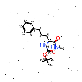 CNC(=O)[C@H](CCCc1ccccc1)NC(=O)OC(C)(C)C